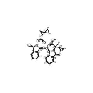 O=C(ON1C(=O)c2ccccc2C1=O)C1CC12CC2.O=C1c2ccccc2C(=O)N1[C@@]1(C(=O)O)CC12CC2